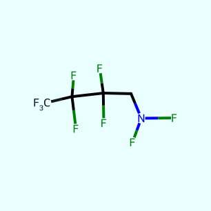 FN(F)CC(F)(F)C(F)(F)C(F)(F)F